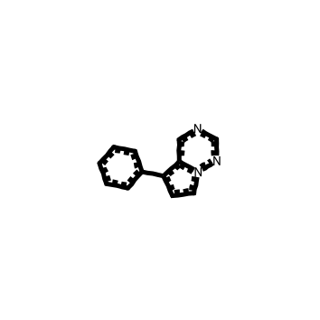 c1ccc(-c2ccn3ncncc23)cc1